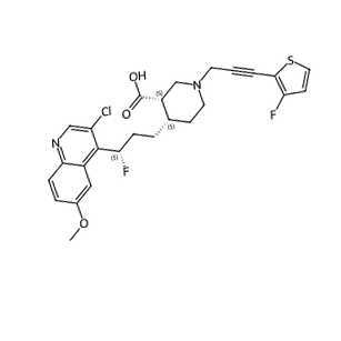 COc1ccc2ncc(Cl)c([C@@H](F)CC[C@H]3CCN(CC#Cc4sccc4F)C[C@H]3C(=O)O)c2c1